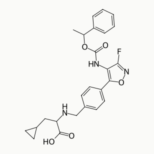 CC(OC(=O)Nc1c(F)noc1-c1ccc(CNC(CC2CC2)C(=O)O)cc1)c1ccccc1